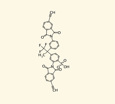 C#Cc1ccc2c(c1)C(=O)N(c1cccc(C(C)(c3ccc(S(=O)(=O)O)c(N4C(=O)c5ccc(C#C)cc5C4=O)c3)C(F)(F)F)c1)C2=O